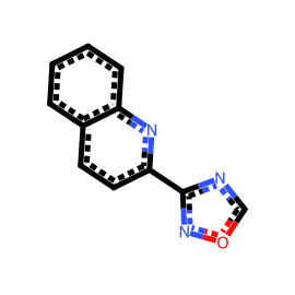 c1ccc2nc(-c3ncon3)ccc2c1